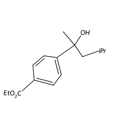 CCOC(=O)c1ccc(C(C)(O)CC(C)C)cc1